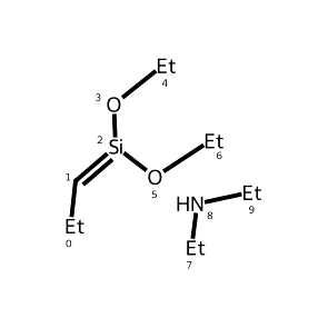 CCC=[Si](OCC)OCC.CCNCC